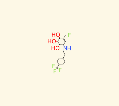 O[C@@H]1[C@@H](O)[C@@H](O)C(CF)=C[C@H]1NCCC1CCC(C(F)(F)F)CC1